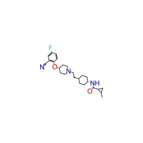 CC1CC1C(=O)N[C@H]1CC[C@H](CCN2CCC(Oc3ccc(F)cc3C#N)CC2)CC1